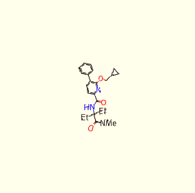 CCC(CC)(NC(=O)c1ccc(-c2ccccc2)c(OCC2CC2)n1)C(=O)NC